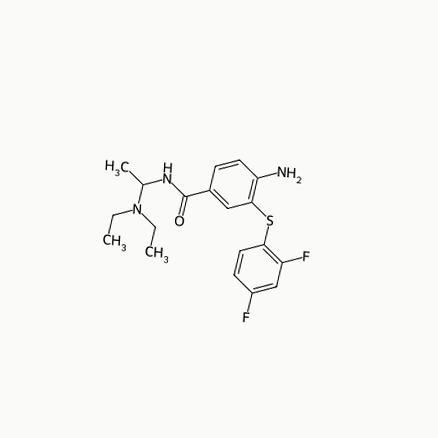 CCN(CC)C(C)NC(=O)c1ccc(N)c(Sc2ccc(F)cc2F)c1